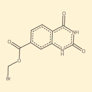 O=C(OCBr)c1ccc2c(=O)[nH]c(=O)[nH]c2c1